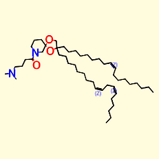 CCCCC/C=C\C/C=C\CCCCCCCCC1(CCCCCCCC/C=C\CCCCCCCC)COC2(CCCN(C(=O)CCCN(C)C)C2)O1